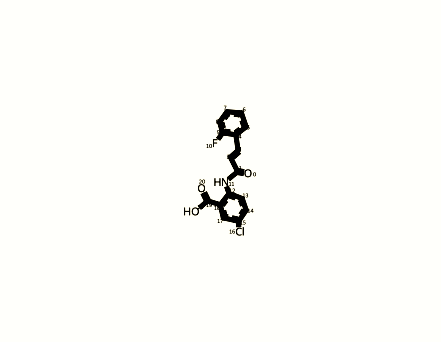 O=C(C=Cc1ccccc1F)Nc1ccc(Cl)cc1C(=O)O